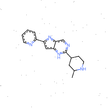 CC1CC(c2ncc3nc(-c4ccccn4)cc-3[nH]2)CCN1